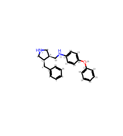 c1ccc(C[C@H]2CNC[C@H]2CNc2ccc(Oc3ccccc3)cc2)cc1